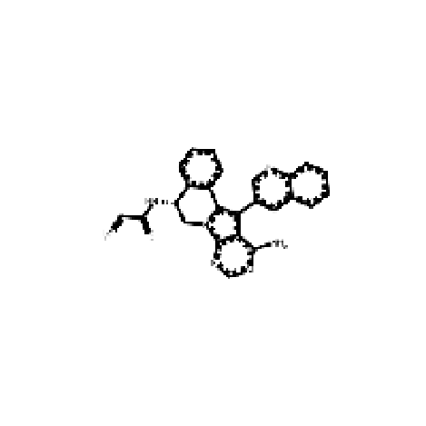 C=CC(=O)N[C@H]1Cn2c(c(-c3cnc4ccccc4c3)c3c(N)ncnc32)-c2ccccc21